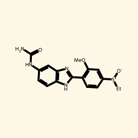 CC[S+]([O-])c1ccc(-c2nc3cc(NC(N)=O)ccc3[nH]2)c(OC)c1